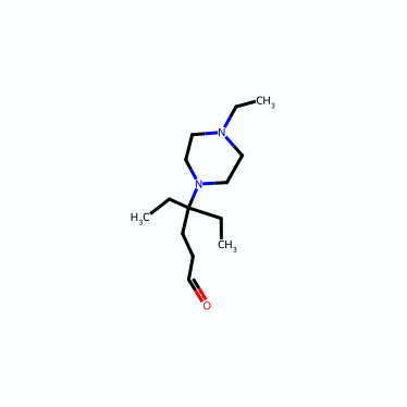 CCN1CCN(C(CC)(CC)CCC=O)CC1